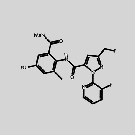 CNC(=O)c1cc(C#N)cc(C)c1NC(=O)c1cc(CF)nn1-c1ncccc1F